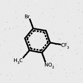 Cc1cc(Br)cc(C(F)(F)F)c1[N+](=O)[O-]